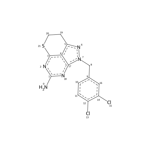 Nc1nc2c3c(nn(Cc4ccc(Cl)c(Cl)c4)c3n1)CCS2